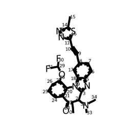 CCC(c1nc2ccc(C#Cc3nnc(C)s3)cc2n1-c1c(C=O)cccc1OC(F)F)N(C)C